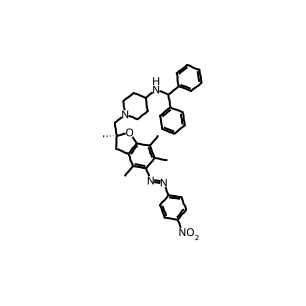 Cc1c(C)c2c(c(C)c1/N=N/c1ccc([N+](=O)[O-])cc1)C[C@@](C)(CN1CCC(NC(c3ccccc3)c3ccccc3)CC1)O2